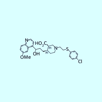 COc1ccc2nccc(C(O)CC[C@@H]3CCN(CCSc4ccc(Cl)cc4)C[C@@H]3C(=O)O)c2c1